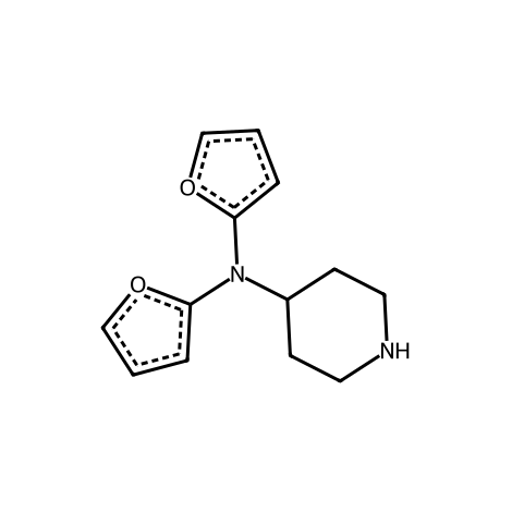 c1coc(N(c2ccco2)C2CCNCC2)c1